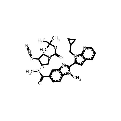 CN(C(=O)c1ccc2c(c1)nc(-c1cc3cccnc3n1CC1CC1)n2C)[C@H]1CN(C(=O)OC(C)(C)C)CC1N=[N+]=[N-]